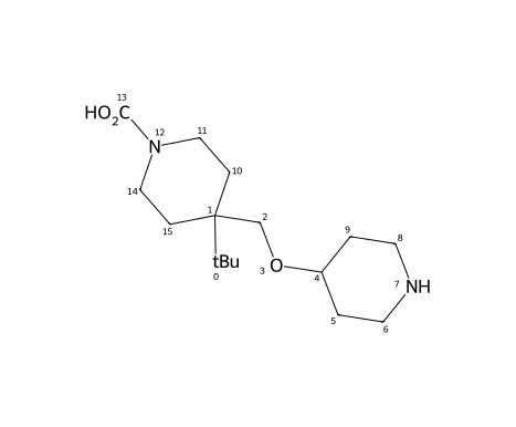 CC(C)(C)C1(COC2CCNCC2)CCN(C(=O)O)CC1